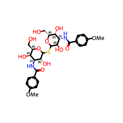 COc1ccc(C(=O)N[C@H]2[C@@H](O)[C@@H](CO)OC(SC3O[C@H](CO)[C@H](O)[C@H](NC(=O)c4ccc(OC)cc4)[C@H]3O)[C@@H]2O)cc1